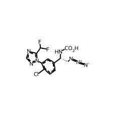 [N-]=[N+]=NC[C@@H](NC(=O)O)c1ccc(Cl)c(-n2ncnc2C(F)F)c1